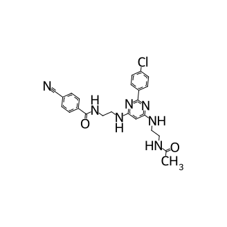 CC(=O)NCCNc1cc(NCCNC(=O)c2ccc(C#N)cc2)nc(-c2ccc(Cl)cc2)n1